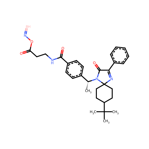 B=NOC(=O)CCNC(=O)c1ccc([C@@H](C)N2C(=O)C(c3ccccc3)=NC23CCC(C(C)(C)C)CC3)cc1